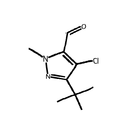 Cn1nc(C(C)(C)C)c(Cl)c1[C]=O